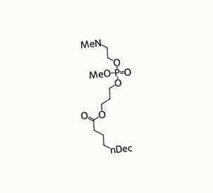 CCCCCCCCCCCCCC(=O)OCCCOP(=O)(OC)OCCNC